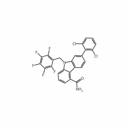 NC(=O)c1cccc2c1c1[c]cc(-c3c(Cl)cccc3Cl)cc1n2Cc1c(F)c(F)c(F)c(F)c1F